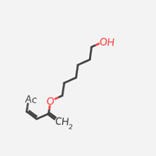 C=C(/C=C\C(C)=O)OCCCCCCO